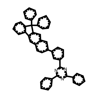 c1ccc(-c2nc(-c3ccccc3)nc(-c3cccc(-c4ccc5cc6c(cc5c4)C(c4ccccc4)(c4ccccc4)c4ccccc4-6)c3)n2)cc1